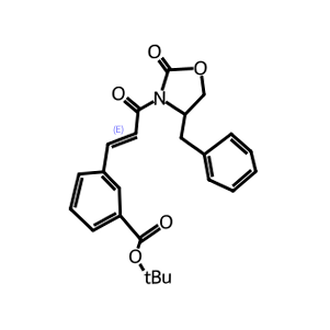 CC(C)(C)OC(=O)c1cccc(/C=C/C(=O)N2C(=O)OCC2Cc2ccccc2)c1